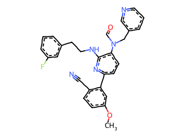 COc1ccc(C#N)c(-c2ccc(N(C=O)Cc3cccnc3)c(NCCc3cccc(F)c3)n2)c1